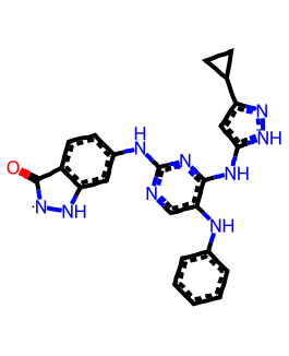 O=C1[N]Nc2cc(Nc3ncc(Nc4ccccc4)c(Nc4cc(C5CC5)n[nH]4)n3)ccc21